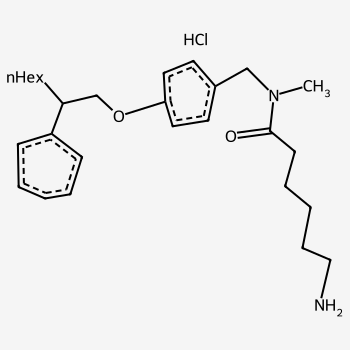 CCCCCCC(COc1ccc(CN(C)C(=O)CCCCCN)cc1)c1ccccc1.Cl